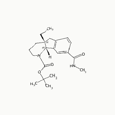 CC[C@]12CCCN(C(=O)OC(C)(C)C)[C@H]1c1cc(C(=O)NC)ccc1C2